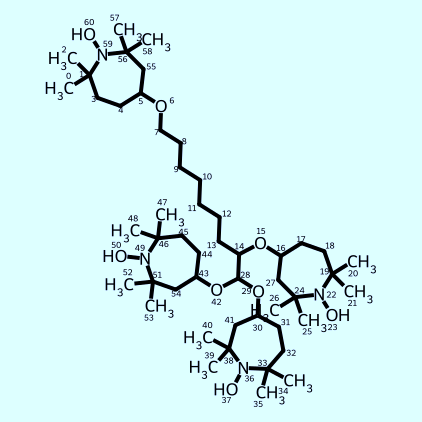 CC1(C)CCC(OCCCCCCCC(OC2CCC(C)(C)N(O)C(C)(C)C2)C(OC2CCC(C)(C)N(O)C(C)(C)C2)OC2CCC(C)(C)N(O)C(C)(C)C2)CC(C)(C)N1O